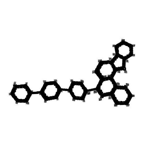 c1cncc(-c2ccc(-c3ccc(-c4nc5cccnc5c5c4ccc4c6ccccc6oc45)cc3)cc2)c1